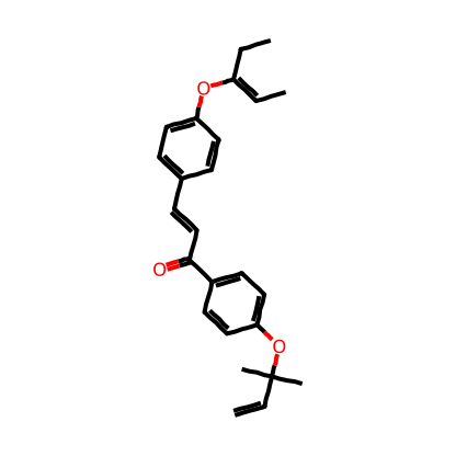 C=CC(C)(C)Oc1ccc(C(=O)C=Cc2ccc(OC(=CC)CC)cc2)cc1